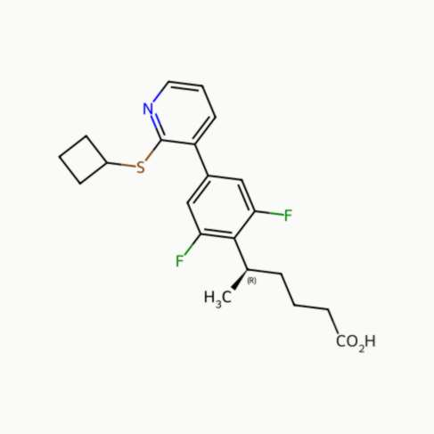 C[C@H](CCCC(=O)O)c1c(F)cc(-c2cccnc2SC2CCC2)cc1F